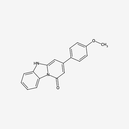 COc1ccc(-c2cc(=O)n3c(c2)[nH]c2ccccc23)cc1